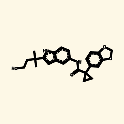 CC(C)(CCO)c1cc2cc(NC(=O)C3(c4ccc5c(c4)OCO5)CC3)ccc2[nH]1